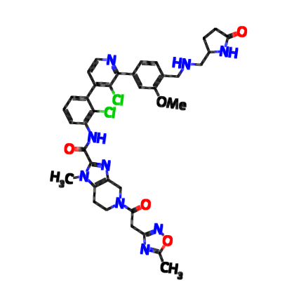 COc1cc(-c2nccc(-c3cccc(NC(=O)c4nc5c(n4C)CCN(C(=O)Cc4noc(C)n4)C5)c3Cl)c2Cl)ccc1CNCC1CCC(=O)N1